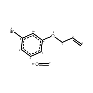 C=CCOc1cccc(Br)c1.C=O